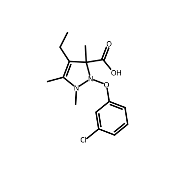 CCC1=C(C)N(C)N(Oc2cccc(Cl)c2)C1(C)C(=O)O